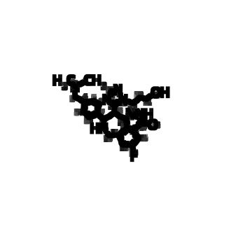 CN(C)Cc1ccc(C2NCc3cc(F)cc4c(=O)[nH]nc(c34)C2c2ncnn2CCCO)cc1